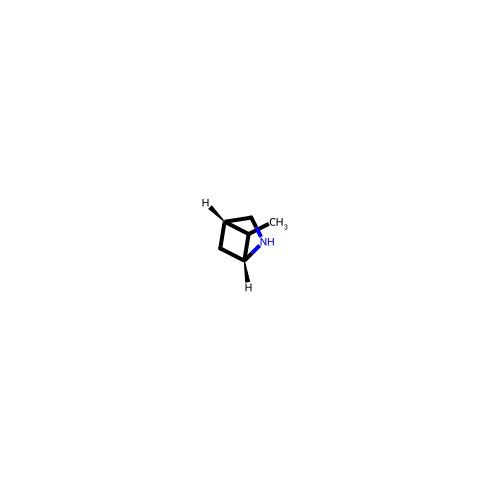 CC1[C@H]2CN[C@@H]1C2